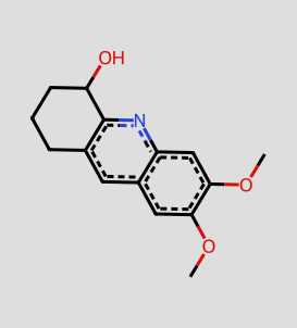 COc1cc2cc3c(nc2cc1OC)C(O)CCC3